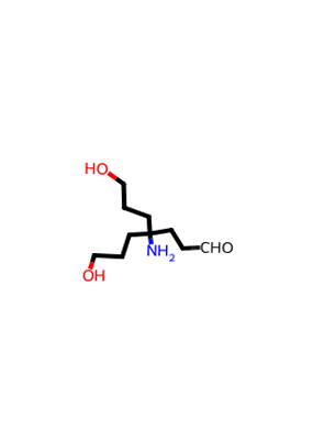 NC(CCC=O)(CCCO)CCCO